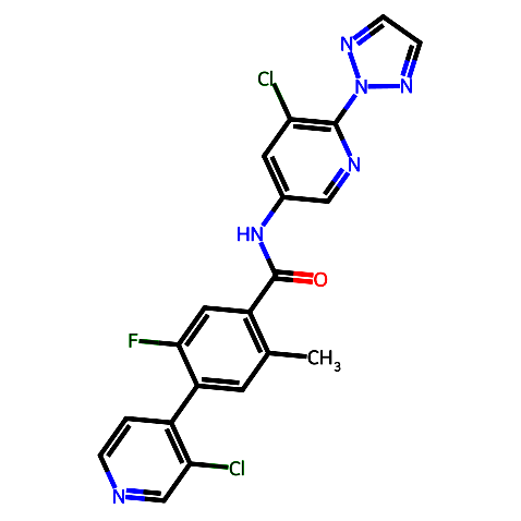 Cc1cc(-c2ccncc2Cl)c(F)cc1C(=O)Nc1cnc(-n2nccn2)c(Cl)c1